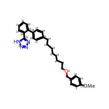 COc1ccc(COCCCCCCCCc2ccc(-c3ccccc3-c3nnn[nH]3)cc2)cc1